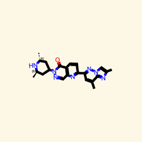 Cc1cn2nc(-c3ccc4c(=O)n(C5C[C@@H](C)N[C@H](C)C5)ncc4n3)cc(C)c2n1